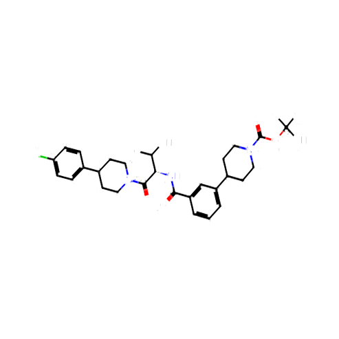 CC(C)[C@@H](NC(=O)c1cccc(C2CCN(C(=O)OC(C)(C)C)CC2)c1)C(=O)N1CCC(c2ccc(Cl)cc2)CC1